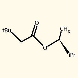 CC(C)[C@H](C)OC(=O)CC(C)(C)C